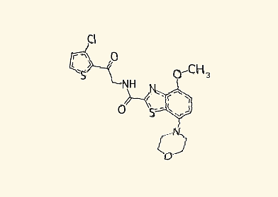 COc1ccc(N2CCOCC2)c2sc(C(=O)NCC(=O)c3sccc3Cl)nc12